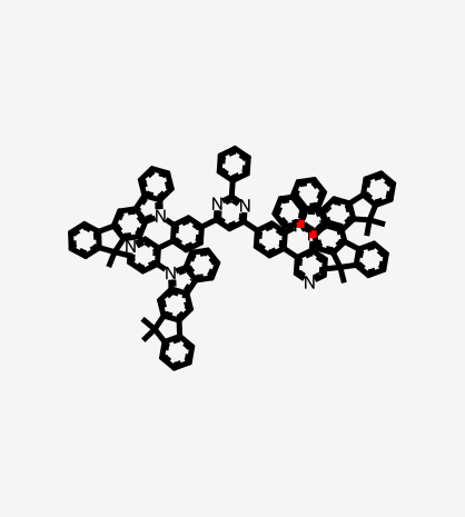 CC1(C)c2ccccc2-c2cc3c4ccccc4n(-c4ccncc4-c4ccc(-c5cc(-c6ccc(-c7cnccc7-n7c8ccccc8c8cc9c(cc87)C(C)(C)c7ccccc7-9)c(-n7c8ccccc8c8cc9c(cc87)C(C)(C)c7ccccc7-9)c6)nc(-c6ccccc6)n5)cc4-n4c5ccccc5c5cc6c(cc54)C(C)(C)c4ccccc4-6)c3cc21